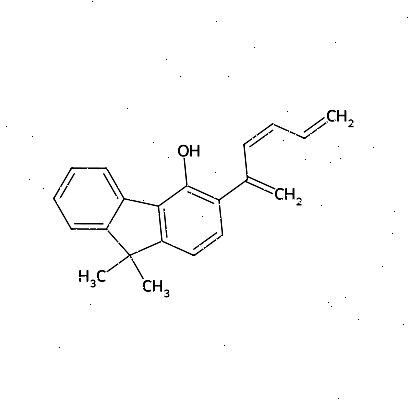 C=C/C=C\C(=C)c1ccc2c(c1O)-c1ccccc1C2(C)C